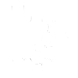 O=C(c1ccc(C2CCCCC2)cc1)N1Cc2ccc(C(=O)N3CCC[C@H]3CN3CCCC3)n2Cc2ccccc21